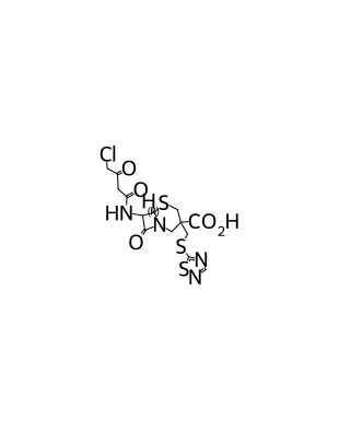 O=C(CCl)CC(=O)NC1C(=O)N2CC(CSc3ncns3)(C(=O)O)CS[C@H]12